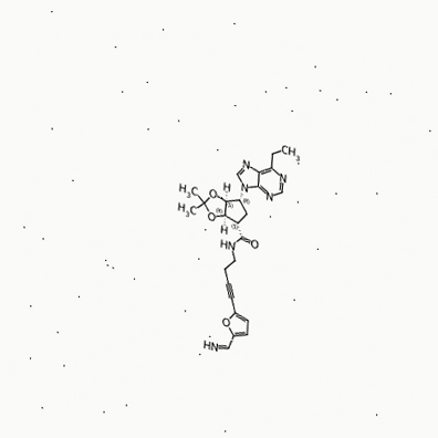 CCc1ncnc2c1ncn2[C@@H]1C[C@H](C(=O)NCCC#Cc2ccc(C=N)o2)[C@H]2OC(C)(C)O[C@H]21